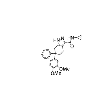 COc1ccc(C2(c3ccccc3)C=Cc3c(C(=O)NC4CC4)n[nH]c3C2)cc1OC